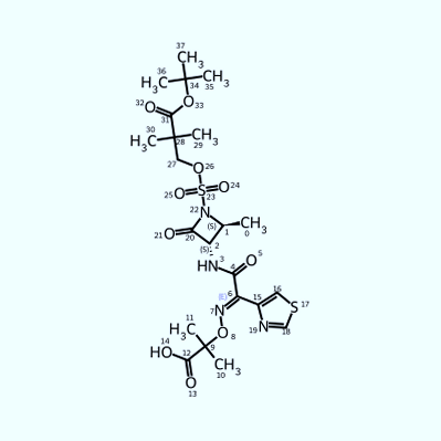 C[C@H]1[C@H](NC(=O)/C(=N/OC(C)(C)C(=O)O)c2cscn2)C(=O)N1S(=O)(=O)OCC(C)(C)C(=O)OC(C)(C)C